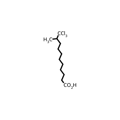 CC(CCCCCCCCC(=O)O)C(Cl)(Cl)Cl